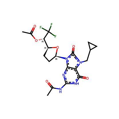 CC(=O)Nc1nc2c(c(=O)[nH]1)n(CC1CC1)c(=O)n2[C@H]1CC[C@@H]([C@H](OC(C)=O)C(F)(F)F)O1